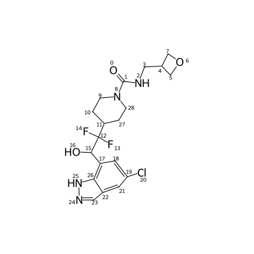 O=C(NCC1COC1)N1CCC(C(F)(F)C(O)c2cc(Cl)cc3cn[nH]c23)CC1